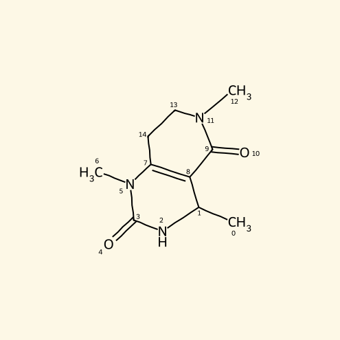 CC1NC(=O)N(C)C2=C1C(=O)N(C)CC2